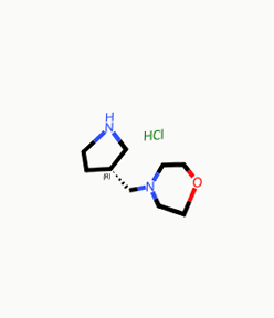 C1C[C@@H](CN2CCOCC2)CN1.Cl